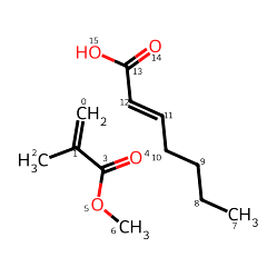 C=C(C)C(=O)OC.CCCCC=CC(=O)O